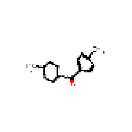 Cc1ccc(C(=O)C2CCC(C)CC2)cc1